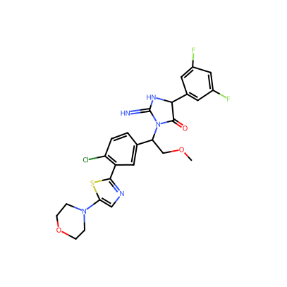 COCC(c1ccc(Cl)c(-c2ncc(N3CCOCC3)s2)c1)N1C(=N)NC(c2cc(F)cc(F)c2)C1=O